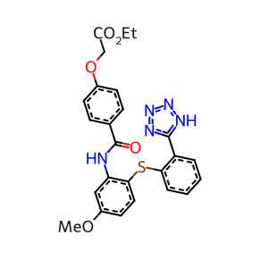 CCOC(=O)COc1ccc(C(=O)Nc2cc(OC)ccc2Sc2ccccc2-c2nnn[nH]2)cc1